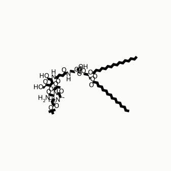 CCCCCCCCCCCCCCCC(=O)OC[C@H](COP(=O)(O)OCCNC(=O)CCC(=O)N[C@@H]1[C@@H](OC(C)CN(C(=O)[C@H](C)N)[C@H](CCC(=O)OC(C)(C)C)C(N)=O)[C@H](O)[C@@H](CO)O[C@@H]1O)OC(=O)CCCCCCCCCCCCCCC